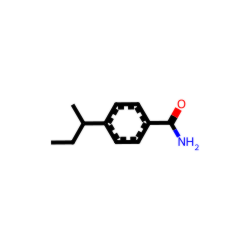 CCC(C)c1ccc(C(N)=O)cc1